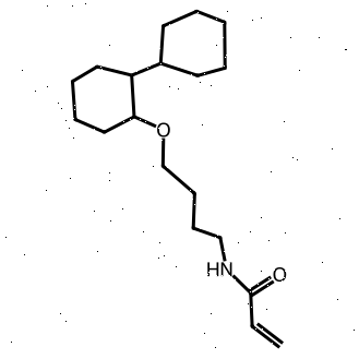 C=CC(=O)NCCCCOC1CCCCC1C1CCCCC1